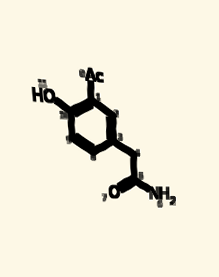 CC(=O)c1cc(CC(N)=O)ccc1O